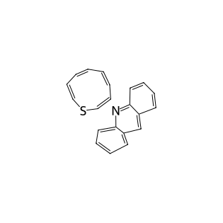 c1ccc2nc3ccccc3cc2c1.c1ccccsccc1